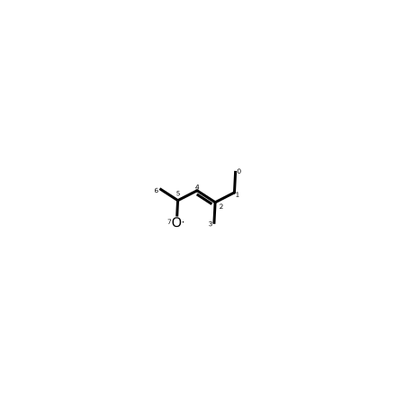 CCC(C)=CC(C)[O]